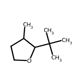 CC1CCOC1C(C)(C)C